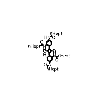 CCCCCCCC(=O)/N=C1C=C/C(=C2/C(=O)C(c3ccc(NC(=O)CCCCCCC)cc3NC(=O)CCCCCCC)=C2O)C(NC(=O)CCCCCCC)=C\1